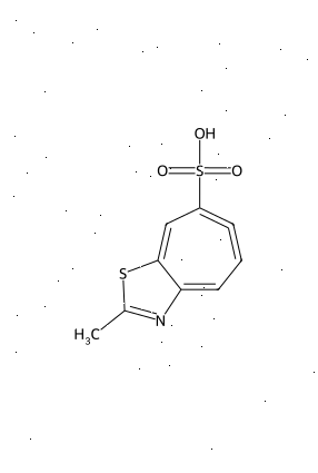 Cc1nc2c(s1)=CC(S(=O)(=O)O)=C=CC=2